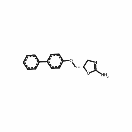 NC1=NC[C@@H](COc2ccc(-c3ccccc3)cc2)O1